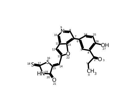 CCC(=O)c1cc(-c2cncc3cc(/C=C4\SC(=S)NC4=O)oc23)ccc1O